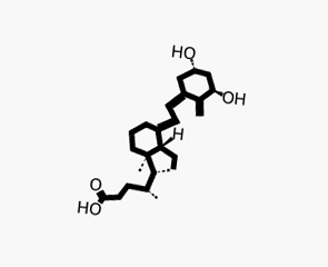 C=C1/C(=C\C=C2CCC[C@]3(C)[C@@H]([C@H](C)CCC(=O)O)CC[C@@H]23)C[C@H](O)C[C@H]1O